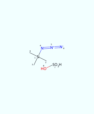 C[Si](C)(C)N=[N+]=[N-].O=S(=O)(O)O